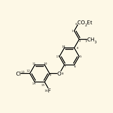 CCOC(=O)C=C(C)c1ccc(Oc2ccc(Cl)cc2F)cc1